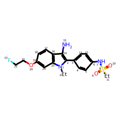 CCn1c(-c2ccc(NS(=O)(=O)CC)cc2)c(N)c2ccc(OCCF)cc21